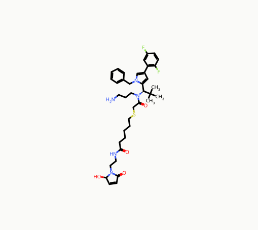 CC(C)(C)[C@H](c1cc(-c2cc(F)ccc2F)cn1Cc1ccccc1)N(CCCN)C(=O)CSCCCCCC(=O)NCCN1C(=O)C=CC1O